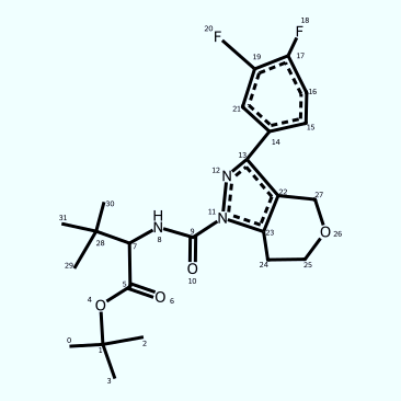 CC(C)(C)OC(=O)C(NC(=O)n1nc(-c2ccc(F)c(F)c2)c2c1CCOC2)C(C)(C)C